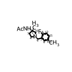 CC(=O)N[C@@]1(C)CCN(Cc2cc(C)ccc2F)C1